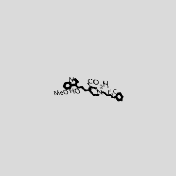 COc1ccc2nccc([C@@H](O)CC[C@@H]3CCN(CCCCc4ccccc4C(F)(F)F)C[C@@H]3CC(=O)O)c2c1